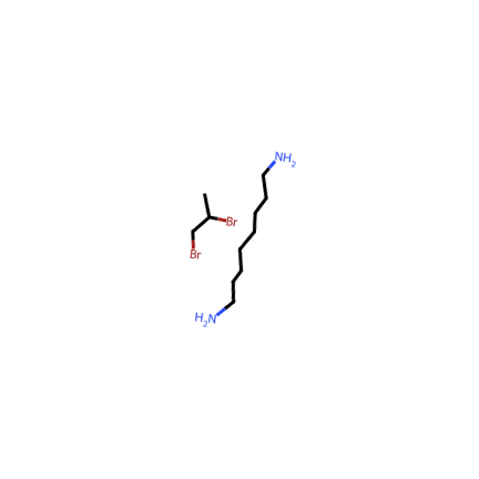 CC(Br)CBr.NCCCCCCCCN